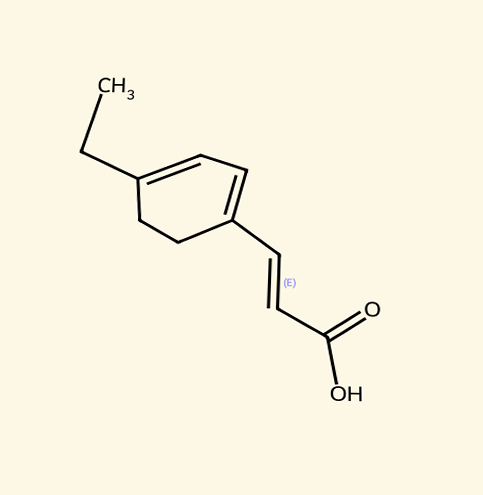 CCC1=CC=C(/C=C/C(=O)O)CC1